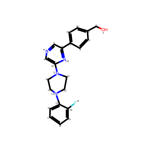 OCc1ccc(-c2cncc(N3CCN(c4ccccc4F)CC3)n2)cc1